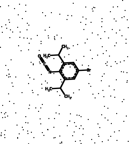 CC(C)c1cc(Br)cc(C(C)C)c1N=C=O